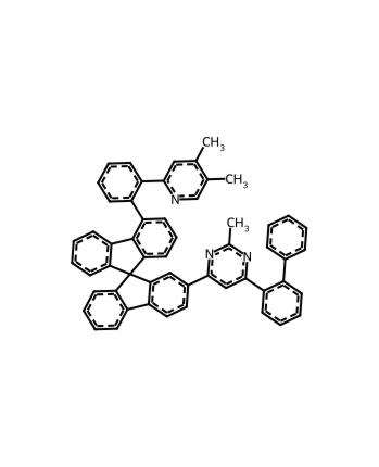 Cc1nc(-c2ccc3c(c2)C2(c4ccccc4-3)c3ccccc3-c3c(-c4ccccc4-c4cc(C)c(C)cn4)cccc32)cc(-c2ccccc2-c2ccccc2)n1